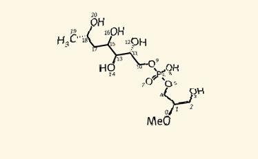 CO[C@H](CO)COP(=O)(O)OC[C@@H](O)C(O)C(O)C[C@H](C)O